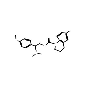 COc1ccc(C(CNC(=O)N2CCCc3cc(F)ccc32)N(C)C)cc1